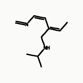 C=N/C=C\C(=C/C)CNC(C)C